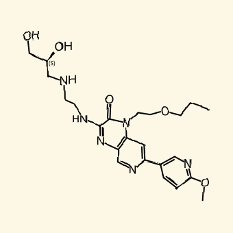 CCCOCCn1c(=O)c(NCCNC[C@H](O)CO)nc2cnc(-c3ccc(OC)nc3)cc21